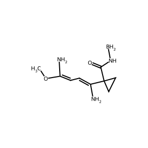 BNC(=O)C1(/C(N)=C/C=C(\N)OC)CC1